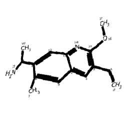 CCc1cc2cc(C)c(C(C)N)cc2nc1OC